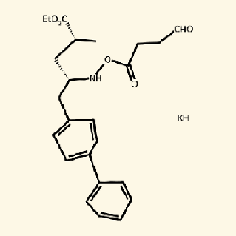 CCOC(=O)[C@H](C)C[C@@H](Cc1ccc(-c2ccccc2)cc1)NOC(=O)CCC=O.[KH]